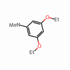 CCOc1cc(NC)cc(OCC)c1